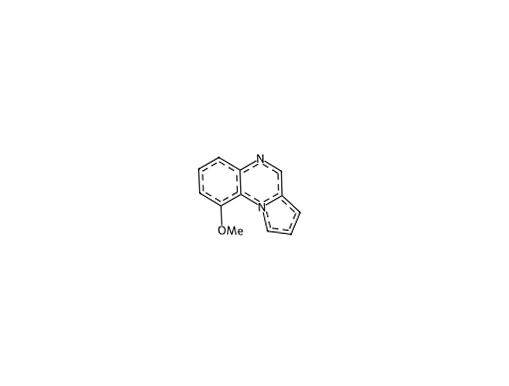 COc1cccc2ncc3cccn3c12